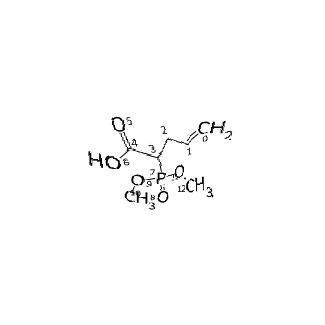 C=CCC(C(=O)O)P(=O)(OC)OC